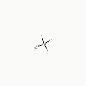 [I][Pd-]([I])([I])[I].[Na+]